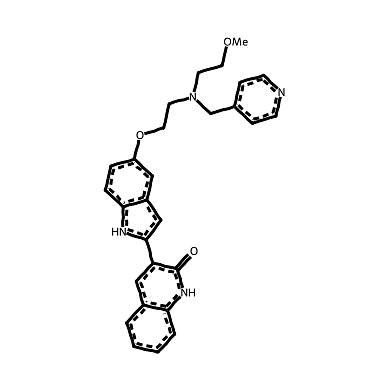 COCCN(CCOc1ccc2[nH]c(-c3cc4ccccc4[nH]c3=O)cc2c1)Cc1ccncc1